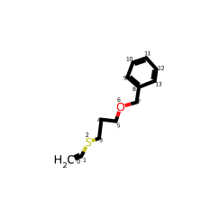 C=CSCCCOCc1ccccc1